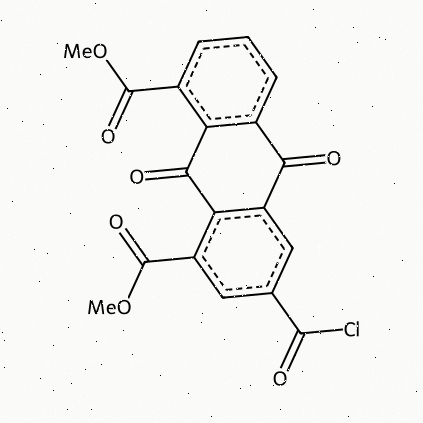 COC(=O)c1cccc2c1C(=O)c1c(C(=O)OC)cc(C(=O)Cl)cc1C2=O